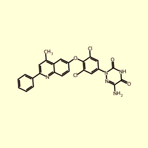 Cc1cc(-c2ccccc2)nc2ccc(Oc3c(Cl)cc(-n4nc(N)c(=O)[nH]c4=O)cc3Cl)cc12